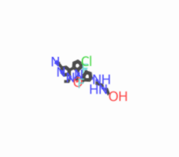 CCN1C(=O)N(c2c(F)cc(NCCNCCO)cc2F)c2cc(Cl)ccc2-c2cc(C#N)ncc21